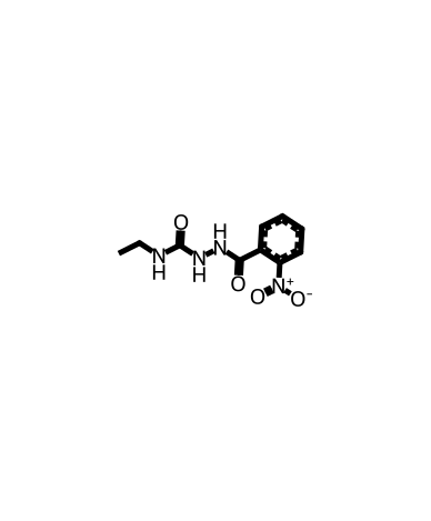 CCNC(=O)NNC(=O)c1ccccc1[N+](=O)[O-]